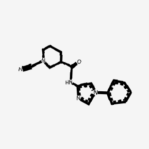 N#CN1CCCC(C(=O)Nc2cn(-c3ccccc3)cn2)C1